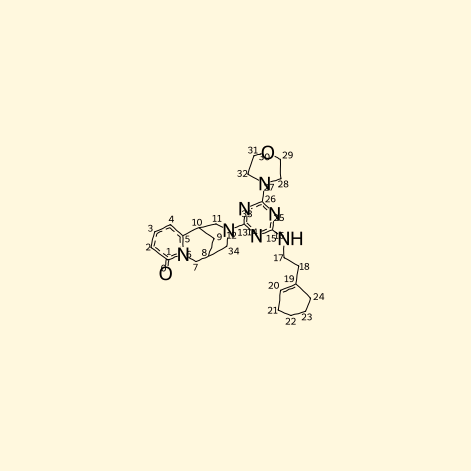 O=c1cccc2n1CC1CC2CN(c2nc(NCCC3=CCCCC3)nc(N3CCOCC3)n2)C1